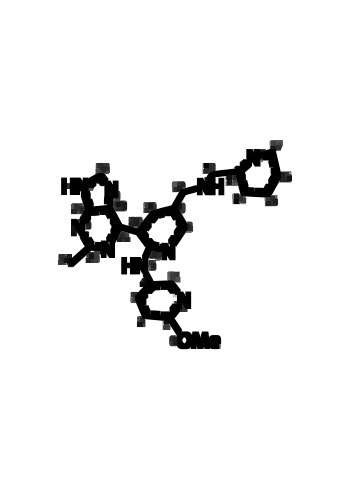 COc1ccc(Nc2ncc(CNCc3ccccn3)cc2-c2nc(C)nc3[nH]cnc23)cn1